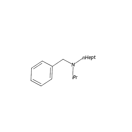 CCCCCCCN(Cc1ccccc1)C(C)C